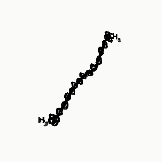 CS(=O)(=O)OCCOCCOCCOCCOCCOCCOCCOCCOCCOCCOCCOCCOCCOS(C)(=O)=O